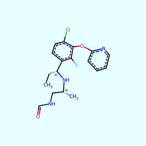 CC[C@@H](N[C@H](C)CNC=O)c1ccc(Cl)c(Oc2ccccn2)c1F